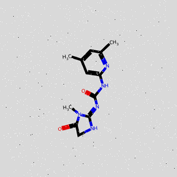 Cc1cc(C)nc(NC(=O)N=C2NCC(=O)N2C)c1